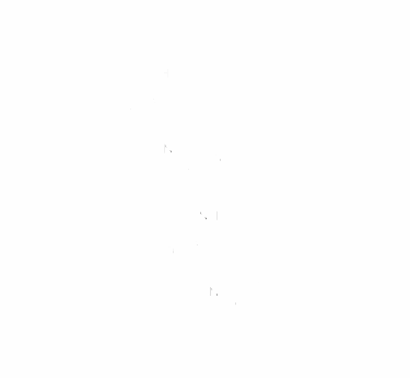 Cc1cc(C(=O)NCC(=O)NCC(=O)O)no1